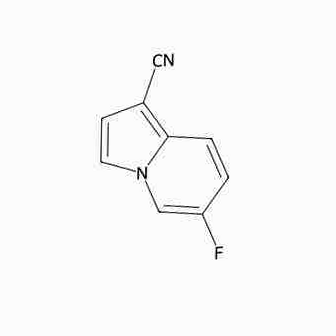 N#Cc1ccn2cc(F)ccc12